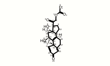 CCC(=O)OCC(=O)[C@@]1(O)CC[C@H]2C3=C([C@@H](O)C[C@@]21C)[C@@]1(C)C=CC(=O)C=C1CC3